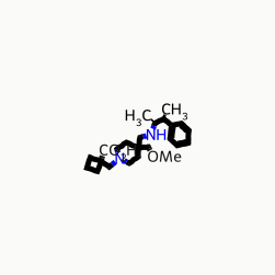 COCC1(CN[C@H](C)[C@@H](C)c2ccccc2)CCN(CC2(C(=O)O)CCC2)CC1